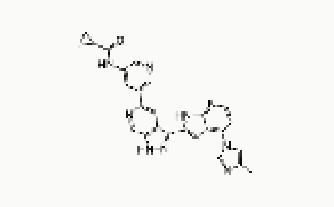 Cc1cn(-c2ccnc3[nH]c(-c4n[nH]c5cnc(-c6cncc(NC(=O)C7CC7)c6)cc45)cc23)cn1